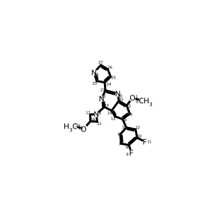 COc1cc(-c2ccc(F)c(F)c2)cc2c(N3CC(OC)C3)nc(-c3cccnc3)nc12